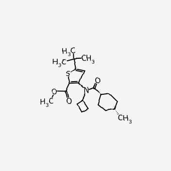 COC(=O)c1sc(C(C)(C)C)cc1N(C(=O)[C@H]1CC[C@H](C)CC1)C1CCC1